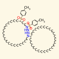 Cc1ccc(S(=O)(=O)C2CCCCCCCCCCCCCCCCCCCN(C3CCCCCCCCCCCCCCCCCCCCCCCCC3)NNN(S(=O)(=O)c3ccc(C)cc3)CC2)cc1